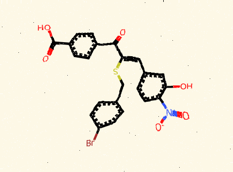 O=C(O)c1ccc(C(=O)C(=Cc2ccc([N+](=O)[O-])c(O)c2)SCc2ccc(Br)cc2)cc1